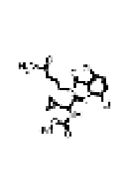 CC(C)(C)OC(=O)NC(c1nc2c(Cl)ccc(Cl)c2c(=O)n1CCCC(N)=O)C1CC1